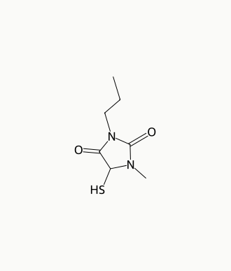 CCCN1C(=O)C(S)N(C)C1=O